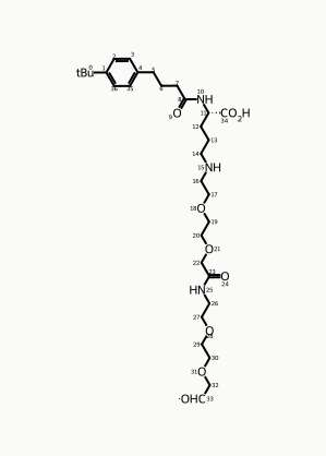 CC(C)(C)c1ccc(CCCC(=O)N[C@@H](CCCNCCOCCOCC(=O)NCCOCCOC[C]=O)C(=O)O)cc1